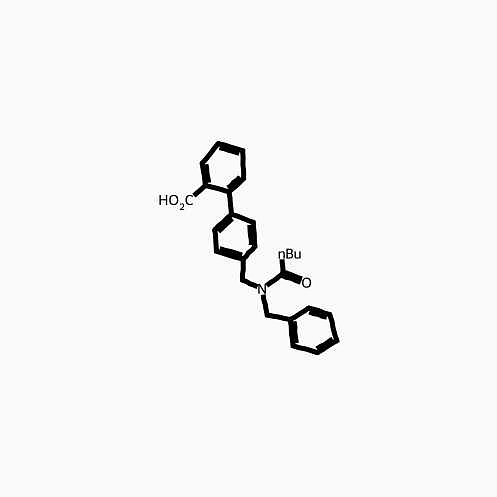 CCCCC(=O)N(Cc1ccccc1)Cc1ccc(-c2ccccc2C(=O)O)cc1